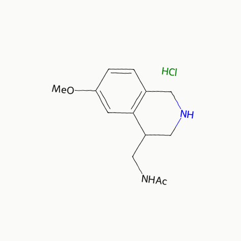 COc1ccc2c(c1)C(CNC(C)=O)CNC2.Cl